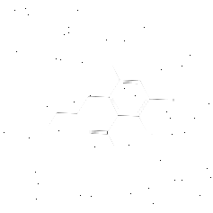 CCCCc1c(C)cc(O)c(O)c1C(=O)O